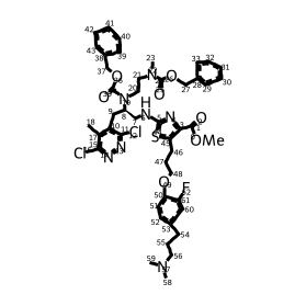 COC(=O)c1nc(NC[C@@H](Cc2c(Cl)nnc(Cl)c2C)N(CCN(C)C(=O)OCc2ccccc2)C(=O)OCc2ccccc2)sc1CCCOc1ccc(CCCN(C)C)cc1F